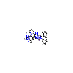 Cc1cccc(-c2nc(CN(I)C(c3ccccc3)c3ccccc3)[nH]c2-c2ccc3ncnn3c2)n1